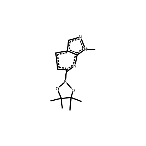 Cn1ncc2ccc(B3OC(C)(C)C(C)(C)O3)nc21